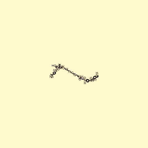 Cc1ncsc1-c1ccc(CNC(=O)[C@@H]2C[C@@H](O)CN2C(=O)[C@@H](NC(=O)COCCOCCOCCOCCOCCNC(=O)/C=C/C(=O)Nc2ccc(NC(=O)Nc3ccc4[nH]ccc4c3)cc2)C(C)(C)C)cc1